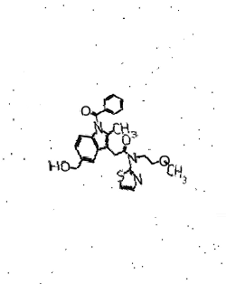 COCCN(C(=O)Cc1c(C)n(C(=O)c2ccccc2)c2ccc(CO)cc12)c1nccs1